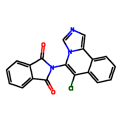 O=C1c2ccccc2C(=O)N1c1c(Cl)c2ccccc2c2cncn12